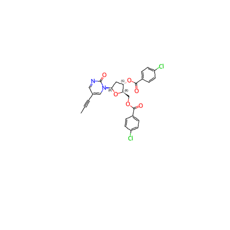 CC#Cc1cnc(=O)n([C@H]2C[C@H](OC(=O)c3ccc(Cl)cc3)[C@@H](COC(=O)c3ccc(Cl)cc3)O2)c1